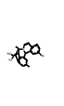 Cc1cc2c3c(c1)C1c4cc(C(C)C)ccc4C=CN1C(C)(C2)C3=C(O)O